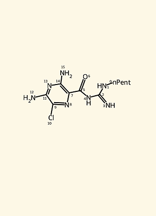 CCCCCNC(=N)NC(=O)c1nc(Cl)c(N)nc1N